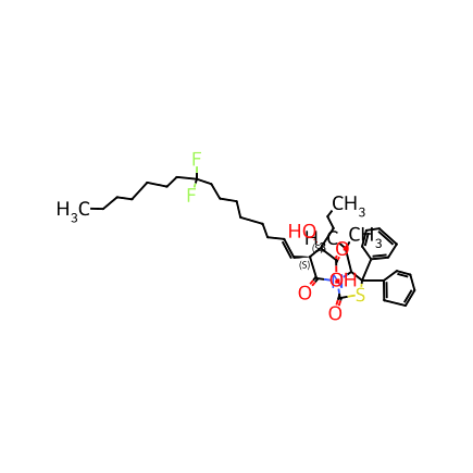 CCCCCCCC(F)(F)CCCCCCC=C[C@H](C(=O)N1C(=O)SC(c2ccccc2)(c2ccccc2)C1C(C)C)[C@@](O)(CCC)C(=O)O